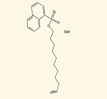 CCCCCCCCCCCCCCCCCCCOS(=O)(=O)c1cccc2ccccc12.[NaH]